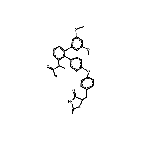 COc1cc(OC)cc(-c2cccc(C(C)C(=O)O)c2-c2ccc(Oc3ccc(CC4SC(=O)NC4=O)cc3)cc2)c1